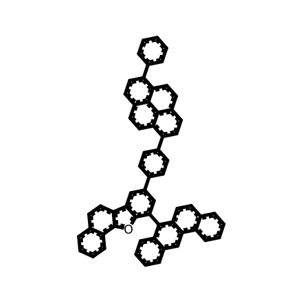 c1ccc(-c2ccc3ccc4c(-c5ccc(-c6cc(-c7c8ccccc8cc8c7ccc7ccccc78)c7oc8c9ccccc9ccc8c7c6)cc5)ccc5ccc2c3c54)cc1